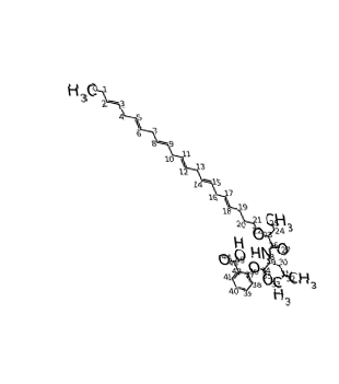 CCC=CCC=CCC=CCC=CCC=CCC=CCCCOC(CC)C(=O)NC(CC(C)C)C(=O)Oc1ccccc1C(=O)O